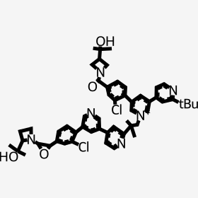 CC(C)(C)c1cc(-c2cc(-c3ccc(C(=O)N4CC(C(C)(C)O)C4)cc3Cl)c[n+](CC(C)(C)c3cc(-c4cncc(-c5ccc(C6OC6N6CCC6C(C)(C)O)cc5Cl)c4)ccn3)c2)ccn1